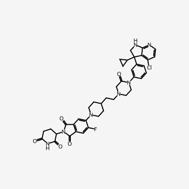 O=C1CCC(N2C(=O)c3cc(F)c(N4CCC(CCN5CCN(c6cccc(C7(C8CC8)CNc8nccc(Cl)c87)c6)C(=O)C5)CC4)cc3C2=O)C(=O)N1